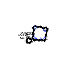 C1=Cc2cc3ccc(cc4nc(cc5ccc(cc1n2)[nH]5)C=C4)[nH]3.C[O][Co]([O]C)([O]C)([O]C)[c]1ccccc1